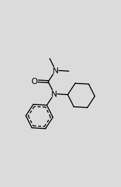 CN(C)C(=O)N(c1ccccc1)C1CCCCC1